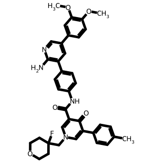 COc1ccc(-c2cnc(N)c(-c3ccc(NC(=O)c4cn(CC5(F)CCOCC5)cc(-c5ccc(C)cc5)c4=O)cc3)c2)cc1OC